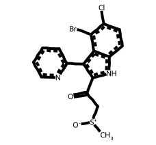 C[S+]([O-])CC(=O)c1[nH]c2ccc(Cl)c(Br)c2c1-c1ccccn1